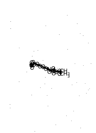 CC(=O)[C@H](C)OCCSC1CC(=O)N(CCC(=O)NCCOCCOCCOCCOCCC(=O)ON2C(=O)CCC2=O)C1=O